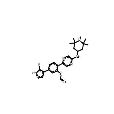 CC1(C)CC(Nc2cnc(-c3ccc(-c4cn[nH]c4F)cc3OC=O)cn2)CC(C)(C)N1